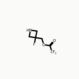 O=C(OCC1(F)CNC1)C(F)(F)F